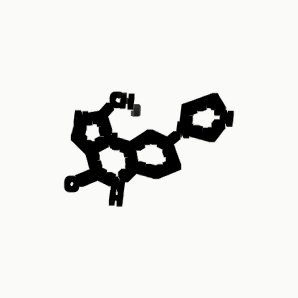 Cc1ncc2c(=O)[nH]c3ccc(-n4ccnc4)cc3n12